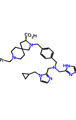 CC(C)CN1CCC2(CC1)CC(C(=O)O)N(Cc1ccc(CN(Cc3ncc[nH]3)Cc3nccn3CC3CC3)cc1)C2